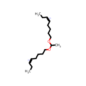 CC/C=C\CCCCOC(C)OCCCC/C=C\CC